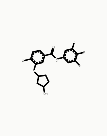 O=C(Nc1cc(F)c(F)c(F)c1)c1ccc(Cl)c(SC2CCC(O)C2)c1